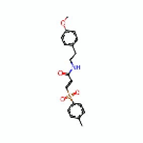 COc1ccc(CCNC(=O)/C=C/S(=O)(=O)c2ccc(C)cc2)cc1